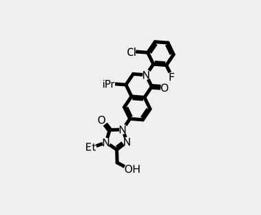 CCn1c(CO)nn(-c2ccc3c(c2)C(C(C)C)CN(c2c(F)cccc2Cl)C3=O)c1=O